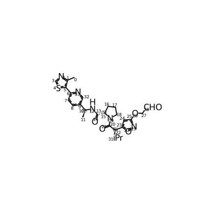 Cc1ncsc1-c1ccc([C@H](C)NC(=O)[C@@H]2CCCN2C(=O)[C@@H](c2cc(OCC=O)no2)C(C)C)cn1